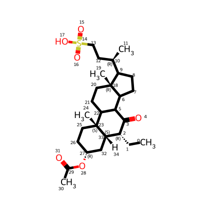 CC[C@H]1C(=O)C2C3CCC([C@H](C)CCS(=O)(=O)O)[C@@]3(C)CCC2[C@@]2(C)CC[C@@H](OC(C)=O)C[C@@H]12